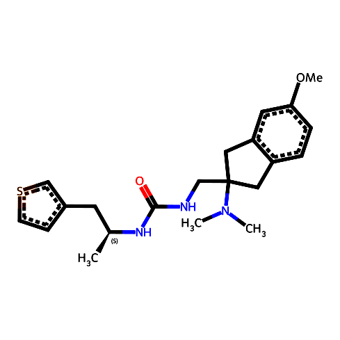 COc1ccc2c(c1)CC(CNC(=O)N[C@@H](C)Cc1ccsc1)(N(C)C)C2